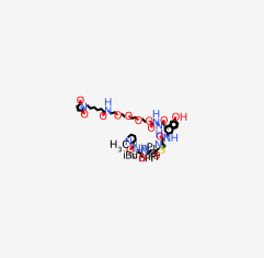 CCCO[C@H](C[C@H](C(C)C)N(CCC)C(=O)[C@@H](NC(=O)[C@H]1CCCCN1C)[C@@H](C)CC)c1nc(C(=O)NC2Cc3ccc(O)cc3[C@H](C(=O)NNC(=O)OCCOCCOCCOCCNC(=O)CCCCCN3C(=O)C=CC3=O)C2)cs1